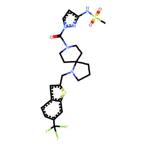 CS(=O)(=O)Nc1ccn(C(=O)N2CCC3(CCCN3Cc3cc4ccc(C(F)(F)F)cc4s3)CC2)n1